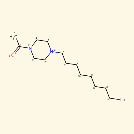 CC(=O)N1CCN(CCCCCCCCI)CC1